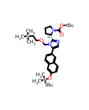 CC(C)(C)OC(=O)N1CCC[C@H]1c1ncc(-c2ccc3cc(O[Si](C)(C)C(C)(C)C)ccc3c2)n1COCC[Si](C)(C)C